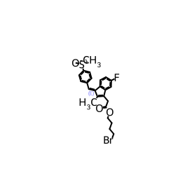 CC1=C(CC(=O)OCCCCBr)c2cc(F)ccc2/C1=C\c1ccc([S+](C)[O-])cc1